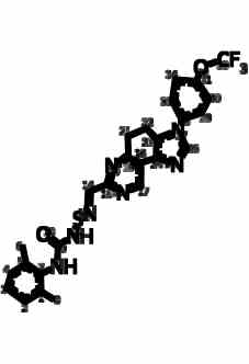 Cc1cccc(C)c1NC(=O)NS/N=C/c1ncc2c(n1)CCc1c-2ncn1-c1ccc(OC(F)(F)F)cc1